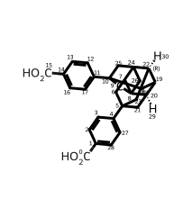 O=C(O)c1ccc(C23CC4C56CC7(c8ccc(C(=O)O)cc8)CC([C@H]5C2)[C@@H](C3)C4(C7)C6)cc1